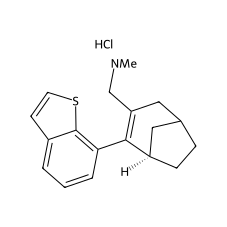 CNCC1=C(c2cccc3ccsc23)[C@@H]2CCC(C1)C2.Cl